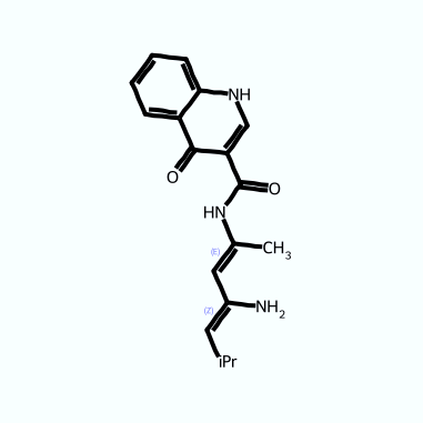 C/C(=C\C(N)=C\C(C)C)NC(=O)c1c[nH]c2ccccc2c1=O